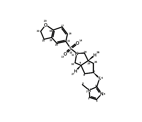 Cn1ccnc1S[C@H]1C[C@@H]2CN(S(=O)(=O)c3ccc4c(c3)CCO4)C[C@@H]2C1